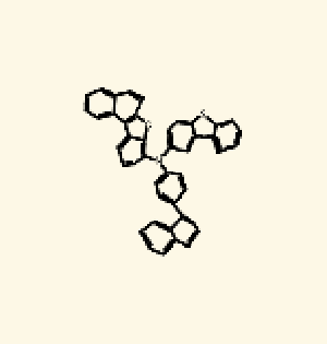 c1ccc2c(-c3ccc(N(c4ccc5sc6ccccc6c5c4)c4cccc5c4oc4ccc6ccccc6c45)cc3)cccc2c1